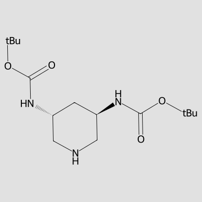 CC(C)(C)OC(=O)N[C@H]1CNC[C@H](NC(=O)OC(C)(C)C)C1